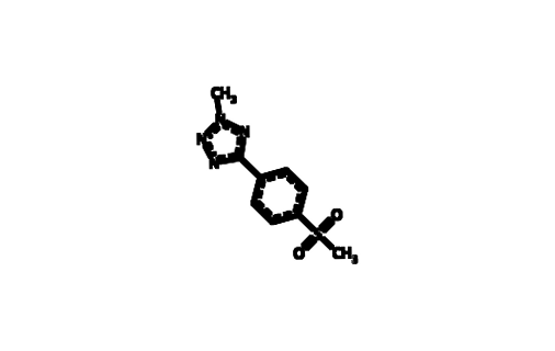 Cn1nnc(-c2ccc(S(C)(=O)=O)cc2)n1